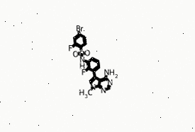 Cn1cc(-c2cccc(NS(=O)(=O)c3ccc(Br)cc3F)c2F)c2c(N)ncnc21